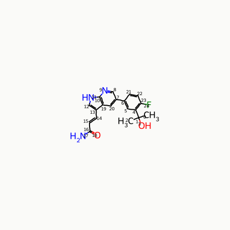 CC(C)(O)c1cc(-c2cnc3[nH]cc(/C=C/C(N)=O)c3c2)ccc1F